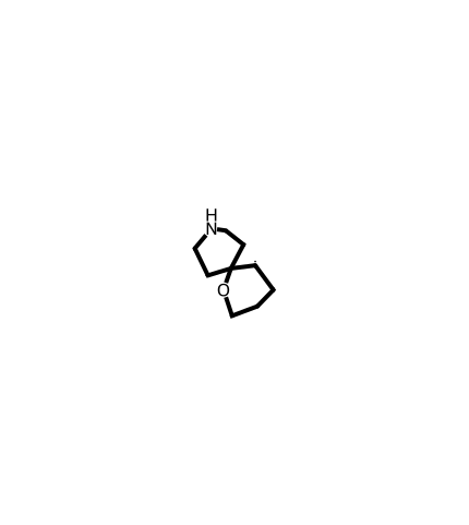 [CH]1CCCOC12CCNCC2